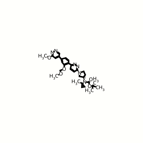 COCOc1cc(-c2cnnc(OC)c2)ccc1-c1ccc(N2CC[C@@H](N(C(=O)OC(C)(C)C)C3(C)CC3)C2)nn1